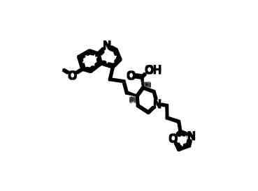 COc1ccc2nccc(CCC[C@@H]3CCN(CCCc4ncco4)C[C@@H]3C(=O)O)c2c1